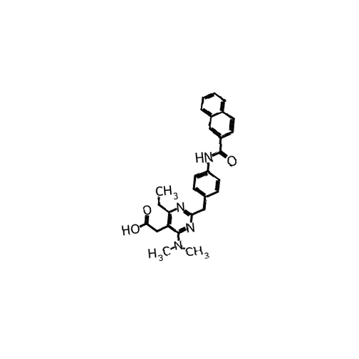 CCc1nc(Cc2ccc(NC(=O)c3ccc4ccccc4c3)cc2)nc(N(C)C)c1CC(=O)O